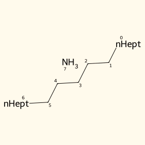 CCCCCCCCCCCCCCCCCCC.N